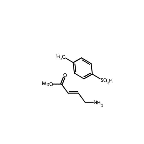 COC(=O)C=CCN.Cc1ccc(S(=O)(=O)O)cc1